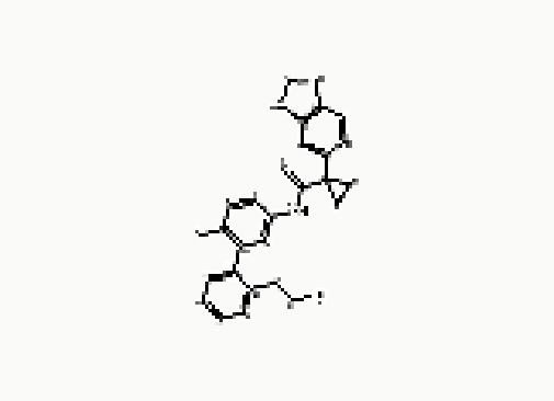 Cc1ccc(NC(=O)C2(c3ccc4c(c3)OCO4)CC2)cc1-c1ccccc1CCO